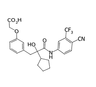 N#Cc1ccc(NC(=O)C(O)(Cc2cccc(OCC(=O)O)c2)C2CCCC2)cc1C(F)(F)F